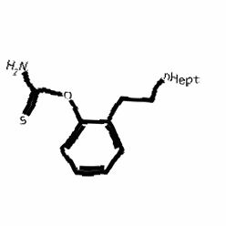 CCCCCCCCCc1ccccc1OC(N)=S